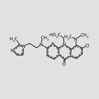 Cc1nccn1CCN(C)c1ccc2c(=O)c3ccc(Cl)c(N(C)C)c3n(CC(=O)O)c2n1